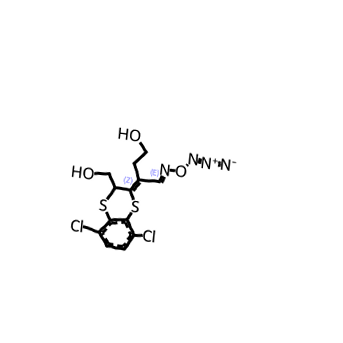 [N-]=[N+]=NO/N=C/C(CCO)=C1\Sc2c(Cl)ccc(Cl)c2SC1CO